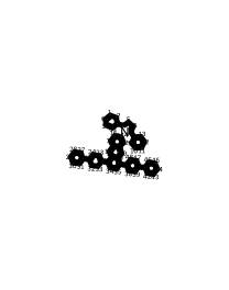 C1=CCC(C2CC=C(c3ccccc3)N2c2ccc3cc4c(C5=CC=C(c6ccccc6)CC5)ccc(-c5ccc(-c6ccccc6)cc5)c4cc3c2)C=C1